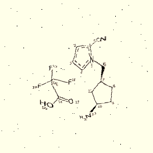 N#Cc1cccn1C[C@H]1CC[C@@H](N)C1.O=C(O)C(F)(F)F